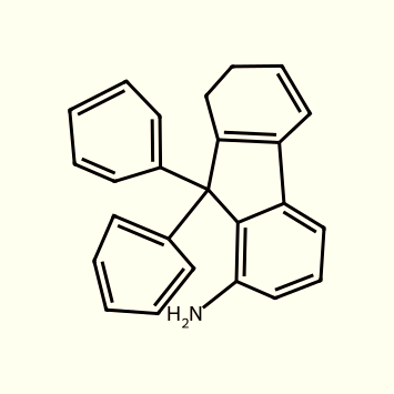 Nc1cccc2c1C(c1ccccc1)(c1ccccc1)C1=C2C=CCC1